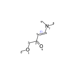 COCC(=O)/C=C/N(C)C